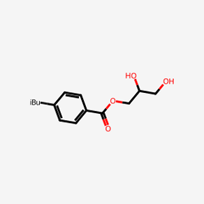 CCC(C)c1ccc(C(=O)OCC(O)CO)cc1